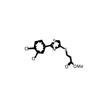 COC(=O)CCSc1csc(-c2ccc(Cl)c(Cl)c2)n1